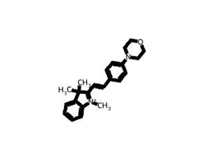 C[N+]1=C(/C=C/c2ccc(N3CCOCC3)cc2)C(C)(C)c2ccccc21